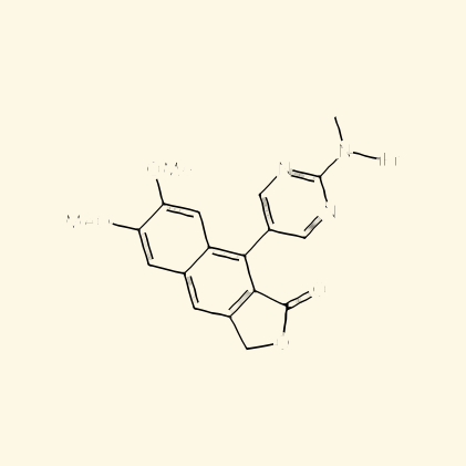 COc1cc2cc3c(c(-c4cnc(N(C)C(C)C)nc4)c2cc1OC)C(=O)OC3